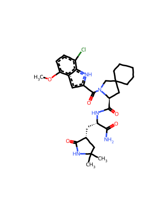 COc1ccc(Cl)c2[nH]c(C(=O)N3CC4(CCCCC4)C[C@H]3C(=O)N[C@@H](C[C@@H]3CC(C)(C)NC3=O)C(N)=O)cc12